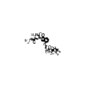 COC(=O)CC[C@@H](C(N)=O)N1Cc2c(OCCN(C)C(=O)OC(C)(C)C)cccc2C1=O